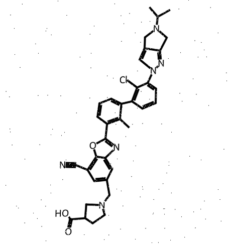 Cc1c(-c2nc3cc(CN4CCC(C(=O)O)C4)cc(C#N)c3o2)cccc1-c1cccc(-n2cc3c(n2)CN(C(C)C)C3)c1Cl